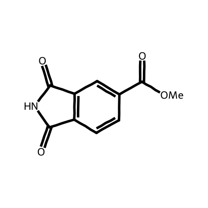 COC(=O)c1ccc2c(c1)C(=O)NC2=O